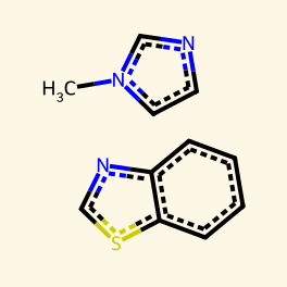 Cn1ccnc1.c1ccc2scnc2c1